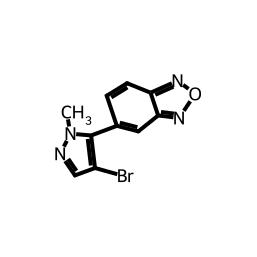 Cn1ncc(Br)c1-c1ccc2nonc2c1